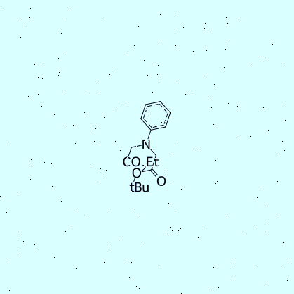 CCOC(=O)CN(CC(=O)OC(C)(C)C)c1ccccc1